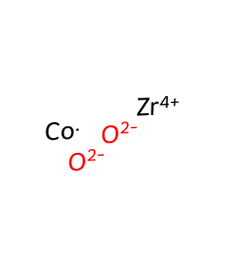 [Co].[O-2].[O-2].[Zr+4]